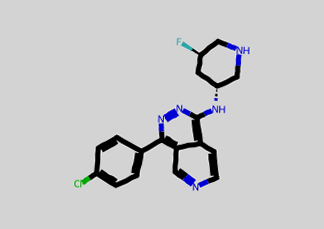 F[C@H]1CNC[C@H](Nc2nnc(-c3ccc(Cl)cc3)c3cnccc23)C1